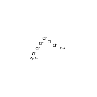 [Cl-].[Cl-].[Cl-].[Cl-].[Cl-].[Cl-].[Fe+2].[Sn+4]